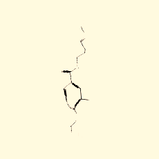 CCOc1ccc(C(=O)NCCCOC)cc1O